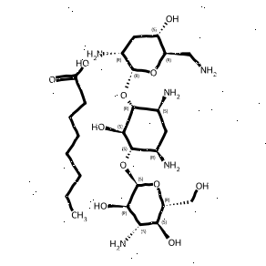 CCCCCCCC(=O)O.NC[C@H]1O[C@H](O[C@H]2[C@H](O)[C@@H](O[C@H]3O[C@H](CO)[C@@H](O)[C@H](N)[C@H]3O)[C@H](N)C[C@@H]2N)[C@H](N)C[C@@H]1O